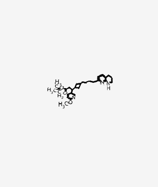 COc1ccc(C(CC(=O)OC(C)(C)C)C2CC(CCCCc3ccc4c(n3)NCCC4)C2)cn1